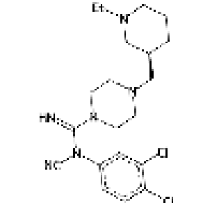 CCN1CCC[C@@H](CN2CCN(C(=N)N(C#N)c3ccc(Cl)c(Cl)c3)CC2)C1